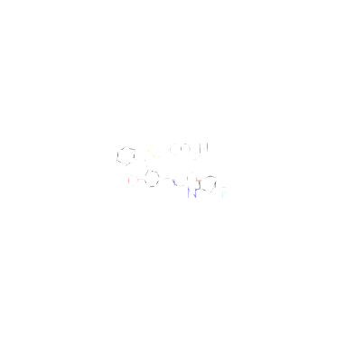 O=C(O)CCSC1c2ccccc2COc2ccc(/C=C/c3nc4cc(F)ccc4o3)cc21